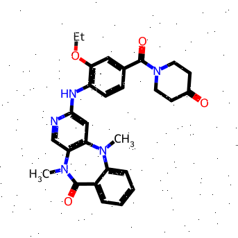 CCOc1cc(C(=O)N2CCC(=O)CC2)ccc1Nc1cc2c(cn1)N(C)C(=O)c1ccccc1N2C